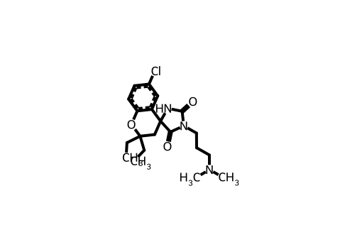 CCC1(CC)CC2(NC(=O)N(CCCN(C)C)C2=O)c2cc(Cl)ccc2O1